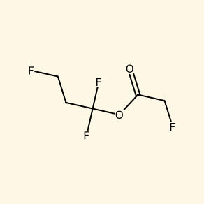 O=C(CF)OC(F)(F)CCF